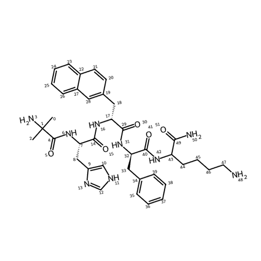 CC(C)(N)C(=O)N[C@@H](Cc1c[nH]cn1)C(=O)N[C@H](Cc1ccc2ccccc2c1)C(=O)N[C@H](Cc1ccccc1)C(=O)NC(CCCCN)C(N)=O